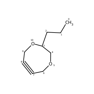 CCCC1COCC#CCO1